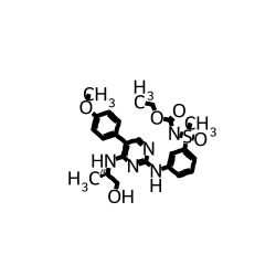 CCOC(=O)N=S(C)(=O)c1cccc(Nc2ncc(-c3ccc(OC)cc3)c(N[C@H](C)CO)n2)c1